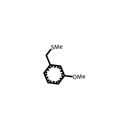 COc1cccc(CSC)c1